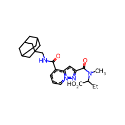 CCC(C(=O)O)N(C)C(=O)c1cc2c(C(=O)NCC34CC5CC(CC(C5)C3)C4)cccn2n1